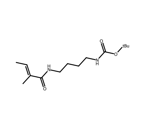 CC=C(C)C(=O)NCCCCNC(=O)OC(C)(C)C